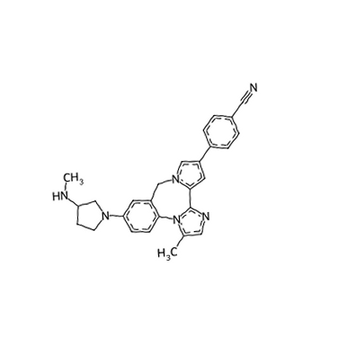 CNC1CCN(c2ccc3c(c2)Cn2cc(-c4ccc(C#N)cc4)cc2-c2ncc(C)n2-3)C1